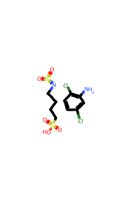 Nc1cc(Cl)ccc1Cl.O=S(=O)=NCCCCS(=O)(=O)O